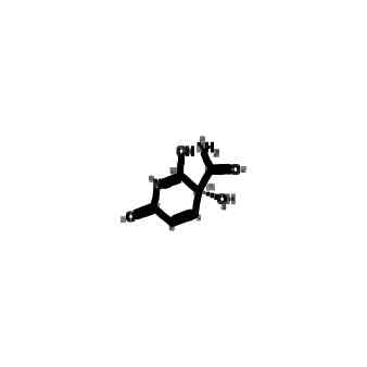 NC(=O)[C@@]1(O)C=CC(=O)N=C1O